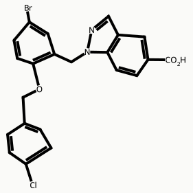 O=C(O)c1ccc2c(cnn2Cc2cc(Br)ccc2OCc2ccc(Cl)cc2)c1